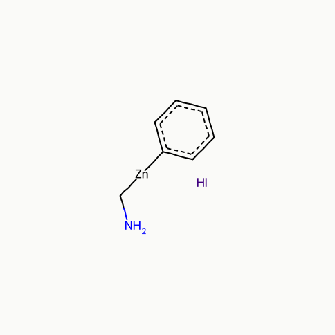 I.N[CH2][Zn][c]1ccccc1